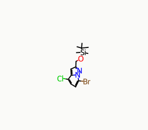 CC(C)(C)[Si](C)(C)OCc1cc2c(Cl)ccc(Br)n2n1